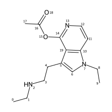 CCNCCc1cn(CC)c2ccnc(OC(C)=O)c12